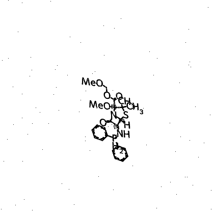 COCOC(=O)[C@]1(OC)N2C(=O)[C@H](N[PH2](c3ccccc3)c3ccccc3)[C@H]2SC1(C)C